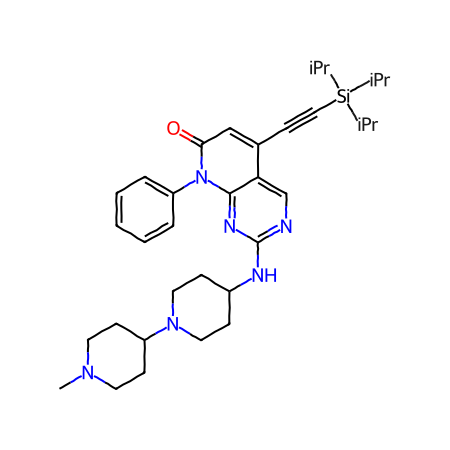 CC(C)[Si](C#Cc1cc(=O)n(-c2ccccc2)c2nc(NC3CCN(C4CCN(C)CC4)CC3)ncc12)(C(C)C)C(C)C